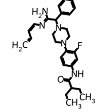 C=C/C=C\N=C(/N)C(c1ccccc1)N1CCN(c2ccc(NC(=O)C(CC)CC)cc2F)CC1